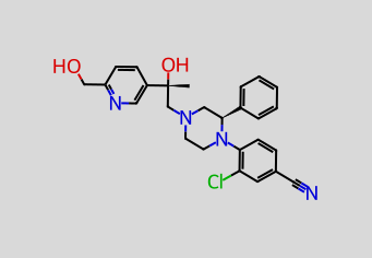 C[C@@](O)(CN1CCN(c2ccc(C#N)cc2Cl)[C@H](c2ccccc2)C1)c1ccc(CO)nc1